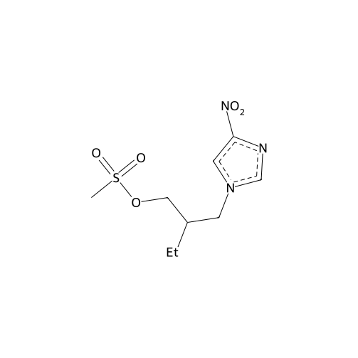 CCC(COS(C)(=O)=O)Cn1cnc([N+](=O)[O-])c1